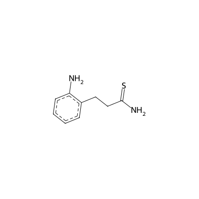 NC(=S)CCc1ccccc1N